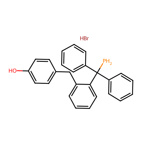 Br.Oc1ccc(Cc2ccccc2C(P)(c2ccccc2)c2ccccc2)cc1